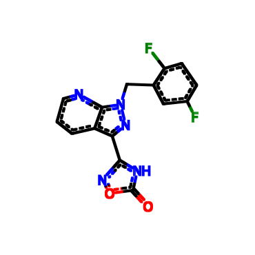 O=c1[nH]c(-c2nn(Cc3cc(F)ccc3F)c3ncccc23)no1